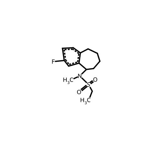 CCS(=O)(=O)N(C)C1CCCCc2ccc(F)cc21